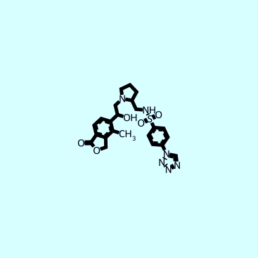 Cc1c(C(O)CN2CCCC2CNS(=O)(=O)c2ccc(-n3cnnn3)cc2)ccc2c1COC2=O